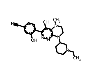 CCN1CCCC(N2CCN(C)c3c2nnc(-c2ccc(C#N)cc2O)c3C)C1